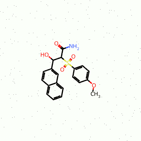 COc1ccc(S(=O)(=O)C(C(N)=O)C(O)c2ccc3ccccc3c2)cc1